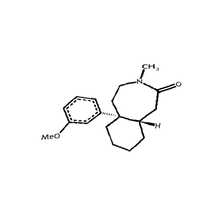 COc1cccc([C@@]23CCCC[C@H]2CC(=O)N(C)CC3)c1